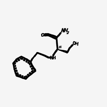 NC(=O)[C@@H](CO)NCc1ccccc1